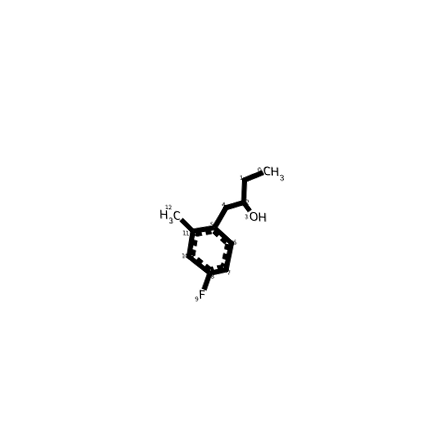 CCC(O)Cc1ccc(F)cc1C